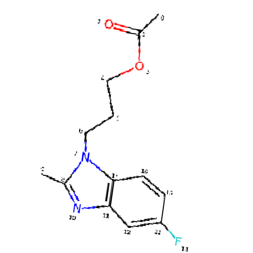 CC(=O)OCCCn1c(C)nc2cc(F)ccc21